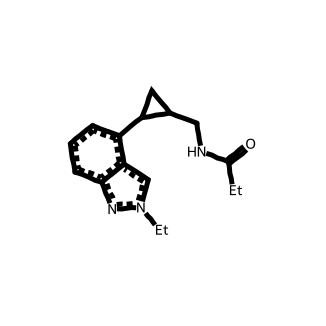 CCC(=O)NCC1CC1c1cccc2nn(CC)cc12